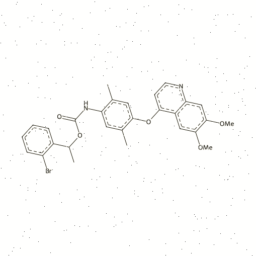 COc1cc2nccc(Oc3cc(C)c(NC(=O)OC(C)c4ccccc4Br)cc3C)c2cc1OC